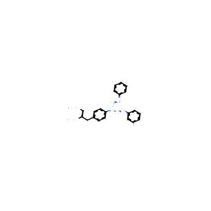 CCC(C)Cc1ccc(N(N=Nc2ccccc2)N=Nc2ccccc2)cc1